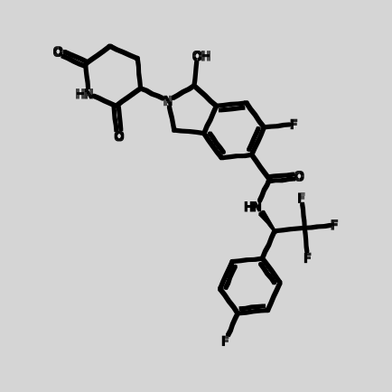 O=C1CCC(N2Cc3cc(C(=O)N[C@H](c4ccc(F)cc4)C(F)(F)F)c(F)cc3C2O)C(=O)N1